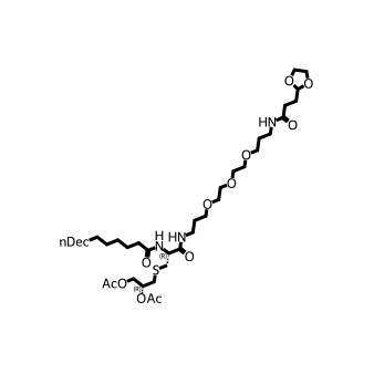 CCCCCCCCCCCCCCCC(=O)N[C@@H](CSC[C@@H](COC(C)=O)OC(C)=O)C(=O)NCCCOCCOCCOCCCNC(=O)CCC1OCCO1